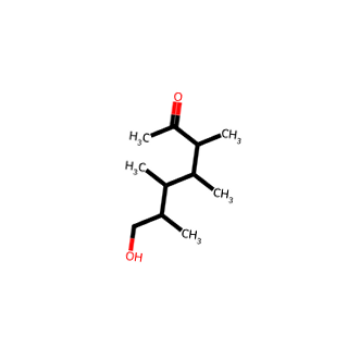 CC(=O)C(C)C(C)C(C)C(C)CO